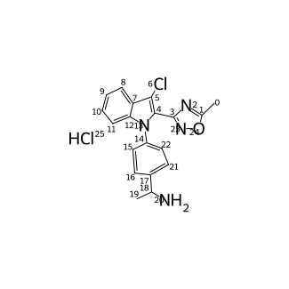 Cc1nc(-c2c(Cl)c3ccccc3n2-c2ccc(C(C)N)cc2)no1.Cl